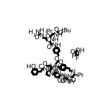 CC[C@H](C)[C@@H]([C@@H](CC(=O)N1CCC[C@H]1[C@H](OC)[C@@H](C)C(=O)N[C@@H](Cc1ccccc1)C(=O)O)OC)N(C)C(=O)[C@@H](NC(=O)[C@H](C(C)C)N(C)CCc1ccc(NCC(=O)OCc2ccc(NC(=O)[C@H](CCCNC(N)=O)NC(=O)[C@@H](NC(=O)OC(C)(C)C)C(C)C)cc2)cc1)C(C)C.O=C(O)C(F)(F)F